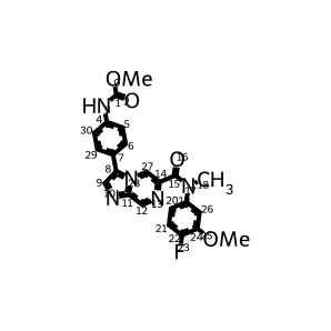 COC(=O)Nc1ccc(-c2cnc3cnc(C(=O)N(C)c4ccc(F)c(OC)c4)cn23)cc1